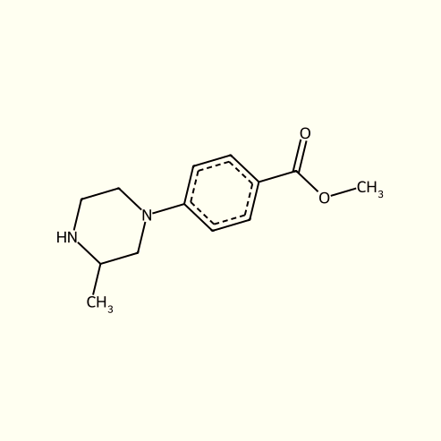 COC(=O)c1ccc(N2CCNC(C)C2)cc1